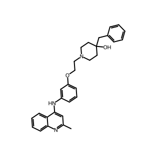 Cc1cc(Nc2cccc(OCCN3CCC(O)(Cc4ccccc4)CC3)c2)c2ccccc2n1